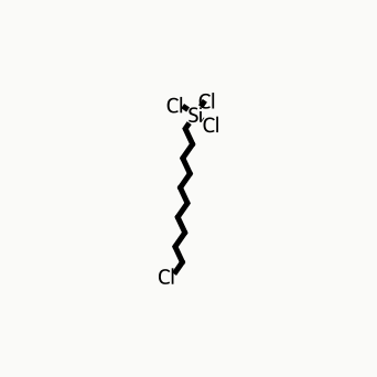 ClCCCCCCCCCC[Si](Cl)(Cl)Cl